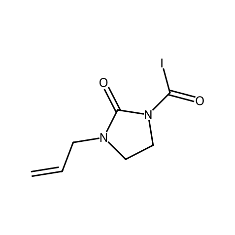 C=CCN1CCN(C(=O)I)C1=O